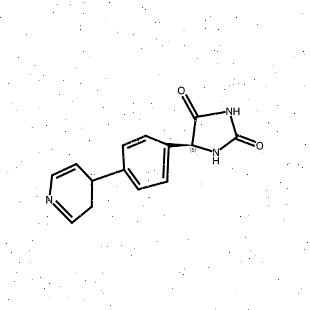 O=C1NC(=O)[C@H](c2ccc(C3C=CN=CC3)cc2)N1